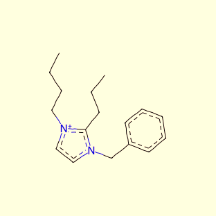 CCCC[n+]1ccn(Cc2ccccc2)c1CCC